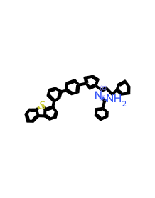 N/C(=N\C(=C/Cc1ccccc1)c1cccc(-c2ccc(-c3cccc(-c4cccc5c4sc4ccccc45)c3)cc2)c1)c1ccccc1